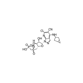 N#Cc1c(Cl)nc2c(cnn2[C@@H]2O[C@H](CS(=O)(=O)CP(=O)(O)O)[C@@H](O)[C@H]2O)c1NC1CC2CC2C1